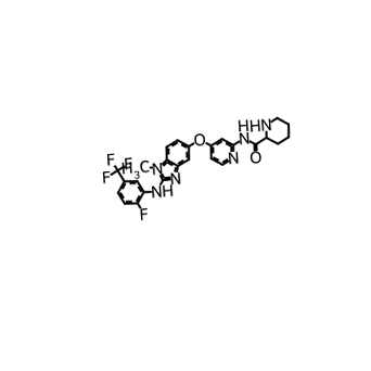 Cn1c(Nc2cc(C(F)(F)F)ccc2F)nc2cc(Oc3ccnc(NC(=O)C4CCCCN4)c3)ccc21